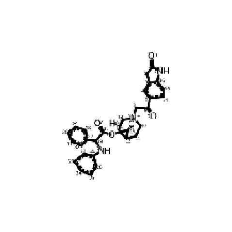 O=C1Cc2cc(C(=O)C[N+]34CCC(CC3)[C@@H](OC(=O)C(Nc3ccccc3)c3ccccc3)C4)ccc2N1